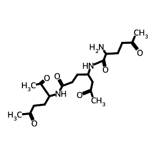 CC(=O)CCC(N)C(=O)NC(CCC(=O)NC(CCC(C)=O)C(C)=O)CC(C)=O